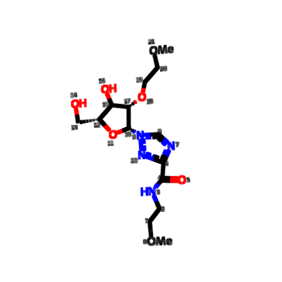 COCCNC(=O)c1ncn([C@@H]2O[C@H](CO)C(O)[C@@H]2OCCOC)n1